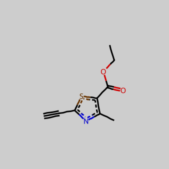 C#Cc1nc(C)c(C(=O)OCC)s1